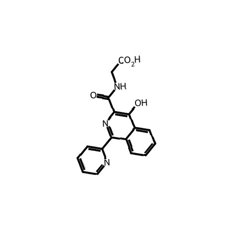 O=C(O)CNC(=O)c1nc(-c2ccccn2)c2ccccc2c1O